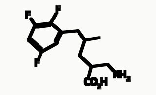 CC(Cc1cc(F)cc(F)c1F)CC(CN)C(=O)O